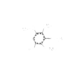 CCCc1cc(OC)c(OC)c(C(=O)O)c1OC